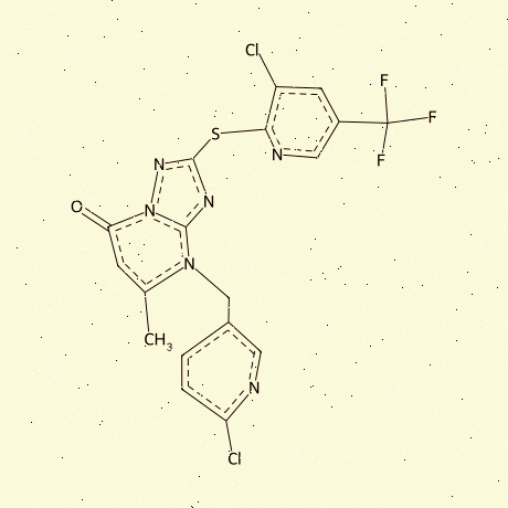 Cc1cc(=O)n2nc(Sc3ncc(C(F)(F)F)cc3Cl)nc2n1Cc1ccc(Cl)nc1